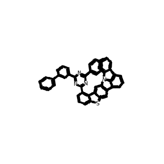 c1ccc(-c2cccc(-c3nc(-c4ccccc4)nc(-c4cccc5sc6cc7c8cccc9c%10ccccc%10n(c7cc6c45)c98)n3)c2)cc1